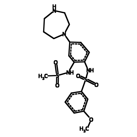 COc1cccc(S(=O)(=O)Nc2ccc(N3CCCNCC3)cc2NS(C)(=O)=O)c1